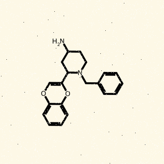 NC1CCN(Cc2ccccc2)C(C2=COc3ccccc3O2)C1